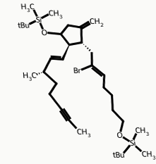 C=C1CC(O[Si](C)(C)C(C)(C)C)[C@H](/C=C/[C@@H](C)CCC#CC)[C@H]1C/C(Br)=C/CCCCO[Si](C)(C)C(C)(C)C